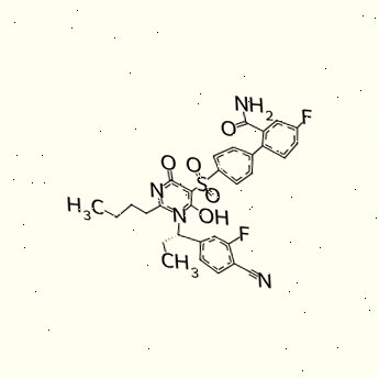 CCCCc1nc(=O)c(S(=O)(=O)c2ccc(-c3ccc(F)cc3C(N)=O)cc2)c(O)n1[C@@H](CC)c1ccc(C#N)c(F)c1